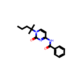 CCCC(C)(C)n1ccc(NC(=O)c2ccccc2)nc1=O